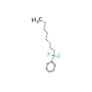 CCCCCCCCC(F)(F)c1ccccc1